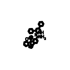 NC(/N=c1\[nH]cc(-c2ccccc2)cc1-c1ccccc1)c1ccc2c(c1)C1(c3ccccc3Oc3ccccc31)c1ncccc1-2